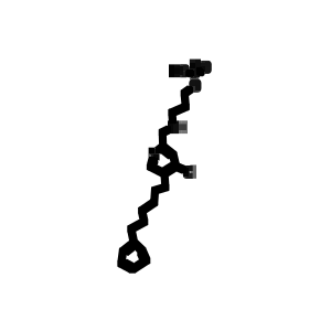 O=[PH](O)OCCCNCc1cc(Cl)c(CCCCCCc2ccccc2)cn1